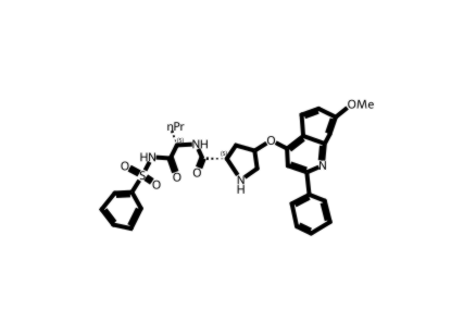 CCC[C@H](NC(=O)[C@@H]1CC(Oc2cc(-c3ccccc3)nc3cc(OC)ccc23)CN1)C(=O)NS(=O)(=O)c1ccccc1